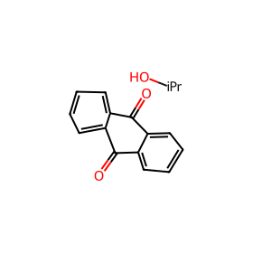 CC(C)O.O=C1c2ccccc2C(=O)c2ccccc21